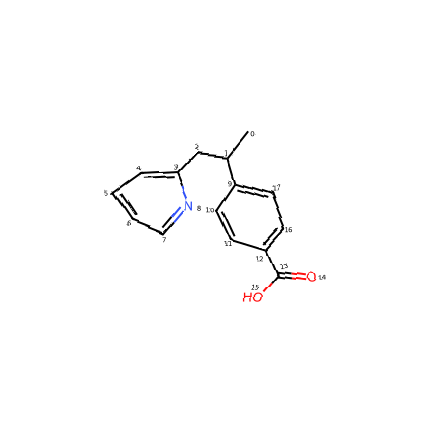 CC(Cc1ccccn1)c1ccc(C(=O)O)cc1